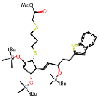 COC(=O)CSCCCS[C@H]1C(O[Si](C)(C)C(C)(C)C)=C[C@@H](O[Si](C)(C)C(C)(C)C)[C@@H]1/C=C/C(CCc1cc2ccccc2s1)O[Si](C)(C)C(C)(C)C